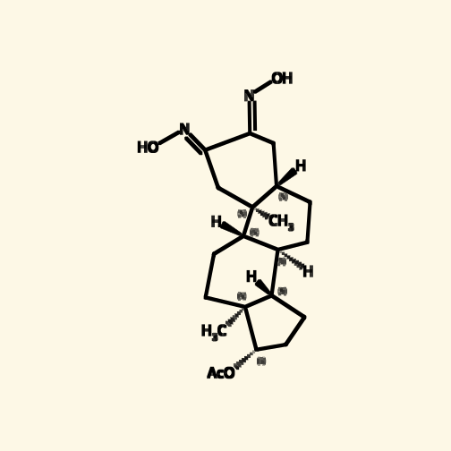 CC(=O)O[C@H]1CC[C@H]2[C@@H]3CC[C@H]4CC(=NO)C(=NO)C[C@]4(C)[C@H]3CC[C@]12C